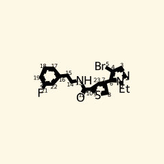 CCn1ncc(Br)c1-c1csc(C(=O)NCCc2cccc(F)c2)c1